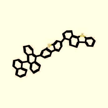 c1ccc2c(-c3c4ccccc4c(-c4ccc5c(c4)sc4cc(-c6cccc7c6ccc6c8ccccc8sc76)ccc45)c4ccccc34)cccc2c1